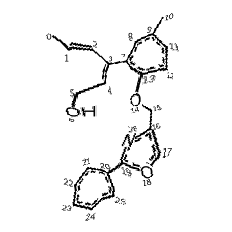 CC=CC(=CCO)c1cc(C)ccc1OCc1coc(-c2ccccc2)n1